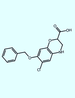 O=C(O)C1CNc2cc(Cl)c(OCc3ccccc3)cc2O1